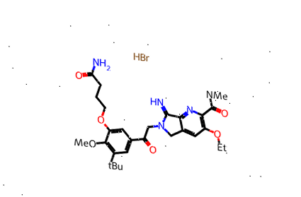 Br.CCOc1cc2c(nc1C(=O)NC)C(=N)N(CC(=O)c1cc(OCCCC(N)=O)c(OC)c(C(C)(C)C)c1)C2